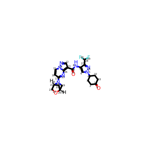 O=C1CCC(n2cc(NC(=O)c3cnn4ccc(N5C[C@H]6C[C@@H]5CO6)nc34)c(C(F)F)n2)CC1